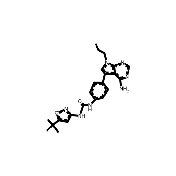 CCCn1cc(-c2ccc(NC(=O)Nc3cc(C(C)(C)C)on3)cc2)c2c(N)ncnc21